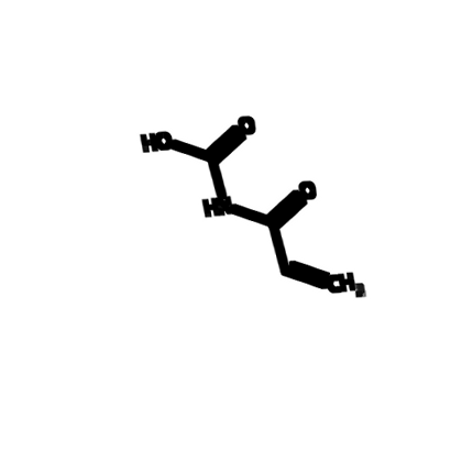 C=CC(=O)NC(=O)O